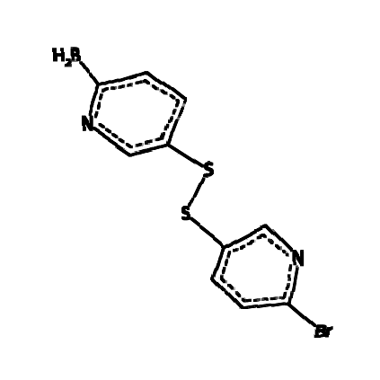 Bc1ccc(SSc2ccc(Br)nc2)cn1